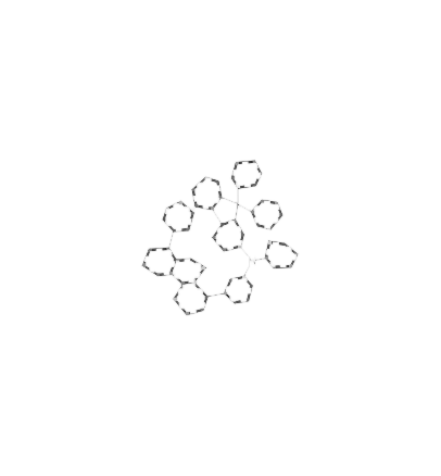 c1ccc(-c2cccc3c2ccc2c(-c4cccc(N(c5ccccc5)c5ccc6c(c5)C(c5ccccc5)(c5ccccc5)c5ccccc5-6)c4)cccc23)cc1